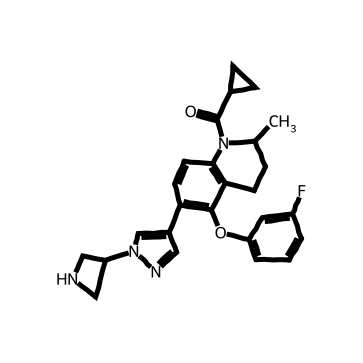 CC1CCc2c(ccc(-c3cnn(C4CNC4)c3)c2Oc2cccc(F)c2)N1C(=O)C1CC1